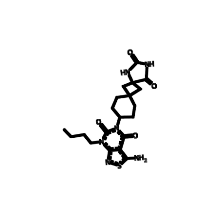 CCCCn1c(=O)n(C2CCC3(CC2)CC2(C3)NC(=O)NC2=O)c(=O)c2c(N)snc21